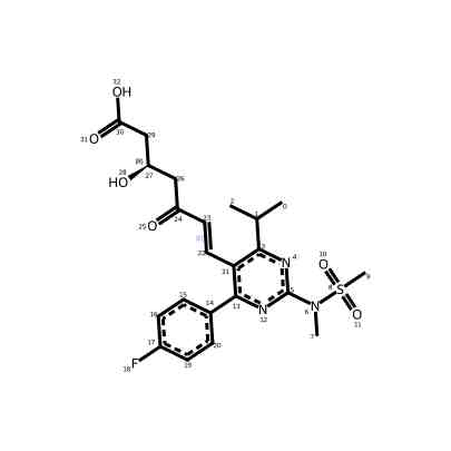 CC(C)c1nc(N(C)S(C)(=O)=O)nc(-c2ccc(F)cc2)c1/C=C/C(=O)C[C@@H](O)CC(=O)O